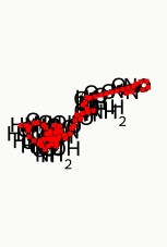 CC[C@H](C)[C@@H]1NC(=O)CNC(=O)[C@H]2Cc3c([nH]c4cc(OC(=O)N(CCN(C)C(=O)OCc5ccc(NC(=O)[C@H](CC(N)=O)NC(=O)[C@H](C)NC(=O)[C@H](C)NC(=O)CCOCCOCCNC(=O)c6ccc7nc8c(nc7c6)CC6CCCCCCCC6C8)cc5)C(C)C)ccc34)[S+]([O-])C[C@H](NC(=O)CNC1=O)C(=O)N[C@@H](CC(N)=O)C(=O)N1C[C@H](O)C[C@H]1C(=O)N[C@@H]([C@@H](C)[C@@H](O)CO)C(=O)N2